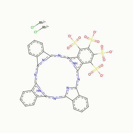 O=S(=O)([O-])c1c(S(=O)(=O)[O-])c(S(=O)(=O)[O-])c2c3nc4nc(nc5[nH]c(nc6nc(nc([nH]3)c2c1S(=O)(=O)[O-])-c1ccccc1-6)c1ccccc51)-c1ccccc1-4.[Cl][Rh+2].[Cl][Rh+2]